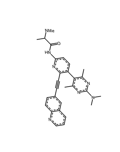 CNC(C)C(=O)Nc1ccc(-c2c(C)nc(N(C)C)nc2C)c(C#Cc2ccc3ncccc3c2)n1